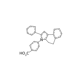 O=C(O)c1ccc(-n2c(-c3ccccc3)cc3c2CCc2ccccc2-3)cc1